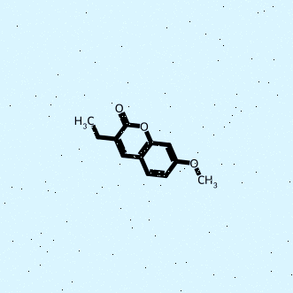 CCc1cc2ccc(OC)cc2oc1=O